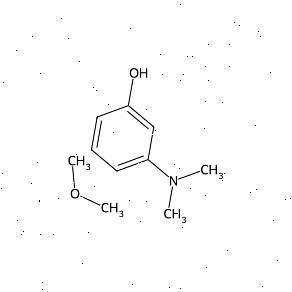 CN(C)c1cccc(O)c1.COC